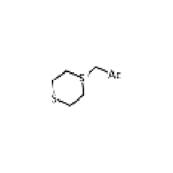 CC(=O)C[S+]1CCSCC1